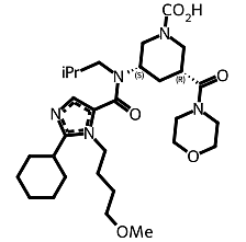 COCCCCn1c(C(=O)N(CC(C)C)[C@H]2C[C@@H](C(=O)N3CCOCC3)CN(C(=O)O)C2)cnc1C1CCCCC1